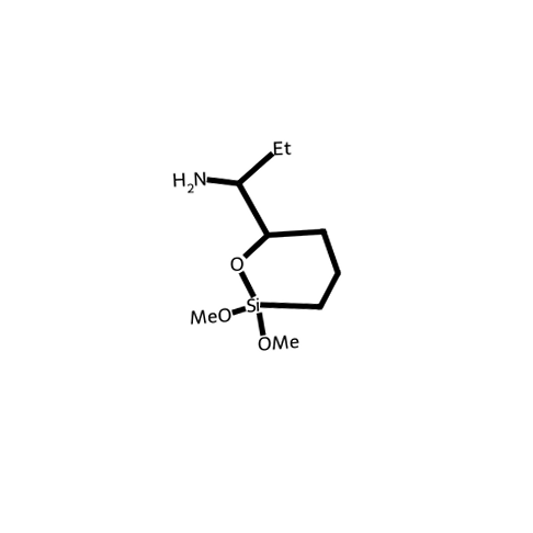 CCC(N)C1CCC[Si](OC)(OC)O1